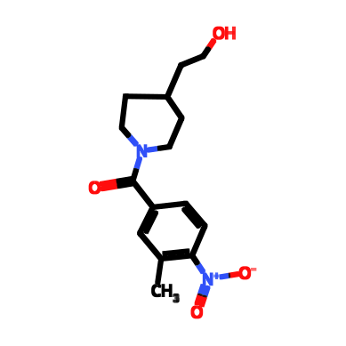 Cc1cc(C(=O)N2CCC(CCO)CC2)ccc1[N+](=O)[O-]